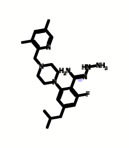 Cc1cnc(CN2CCN(c3cc(CC(C)C)cc(F)c3/C(N)=N/NN)CC2)c(C)c1